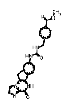 COC(=O)c1ccc(CNC(=O)Nc2ccc3c(c2)Cc2c-3[nH]c(=O)c3nccn23)cc1